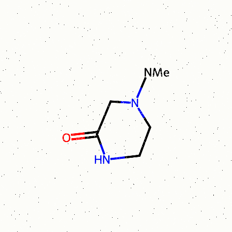 CNN1CCNC(=O)C1